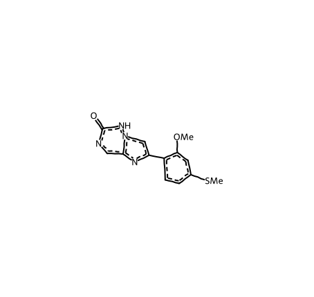 COc1cc(SC)ccc1-c1cn2[nH]c(=O)ncc2n1